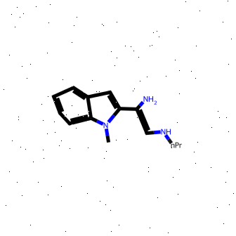 CCCN/C=C(\N)c1cc2ccccc2n1C